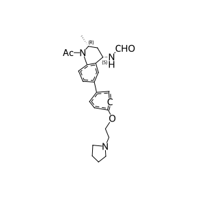 CC(=O)N1c2ccc(-c3ccc(OCCN4CCCC4)cc3)cc2[C@@H](NC=O)C[C@H]1C